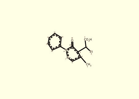 CCC(C(=O)O)c1c(C)cnn(-c2ccccc2)c1=O